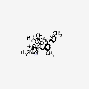 C=C(/N=C\N(C)N)N(Cc1cc(Oc2cccc(C)n2)ccc1C)C(=O)OC(C)(C)C